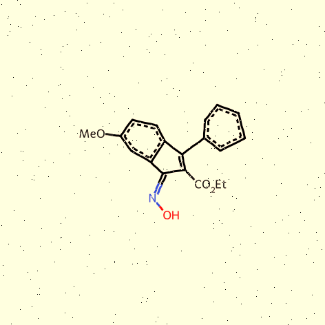 CCOC(=O)C1=C(c2ccccc2)c2ccc(OC)cc2/C1=N/O